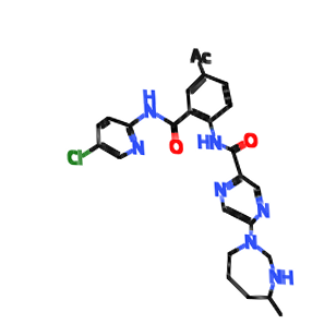 CC(=O)c1ccc(NC(=O)c2cnc(N3CCCC(C)NC3)cn2)c(C(=O)Nc2ccc(Cl)cn2)c1